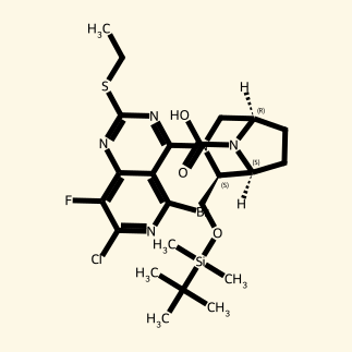 CCSc1nc(N2C[C@H]3CC[C@@H]([C@H]2CO[Si](C)(C)C(C)(C)C)N3C(=O)O)c2c(Br)nc(Cl)c(F)c2n1